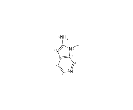 Cn1c(N)nc2ccncc21